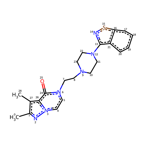 Cc1nn2ccn(CCN3CCN(c4nsc5ccccc45)CC3)c(=O)c2c1C